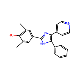 Cc1cc(-c2nc(-c3ccncc3)c(-c3ccccc3)[nH]2)cc(C)c1O